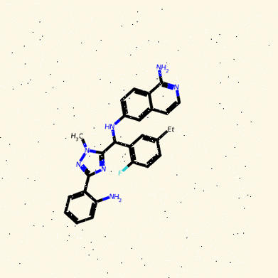 CCc1ccc(F)c(C(Nc2ccc3c(N)nccc3c2)c2nc(-c3ccccc3N)nn2C)c1